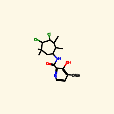 COc1ccnc(C(=O)NC2CC(C)(C)C(Cl)C(Cl)C(C)C2C)c1O